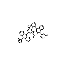 C=C/C=C\c1c(C)c(C(/C=C\C)=C/C=C)c2ccccc2c1-c1cccc2oc3cc(-c4c5ccccc5c(-c5cccs5)c5ccccc45)ccc3c12